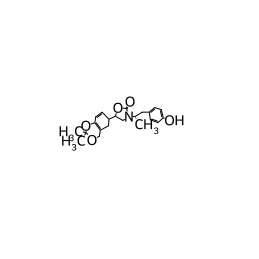 C[C@@H](Cc1ccc(O)cc1)N1CC(C2C=CC3=C(COC(C)(C)O3)C2)OC1=O